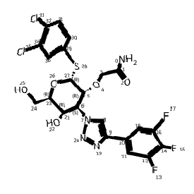 NC(=O)CO[C@@H]1[C@@H](n2cc(-c3cc(F)c(F)c(F)c3)nn2)[C@@H](O)[C@@H](CO)O[C@@H]1Sc1ccc(Cl)c(Cl)c1